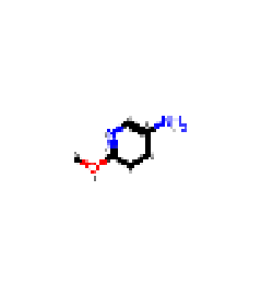 COC1=NC=C(N)CC1